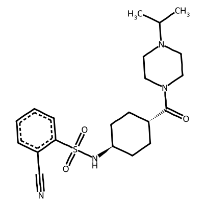 CC(C)N1CCN(C(=O)[C@H]2CC[C@H](NS(=O)(=O)c3ccccc3C#N)CC2)CC1